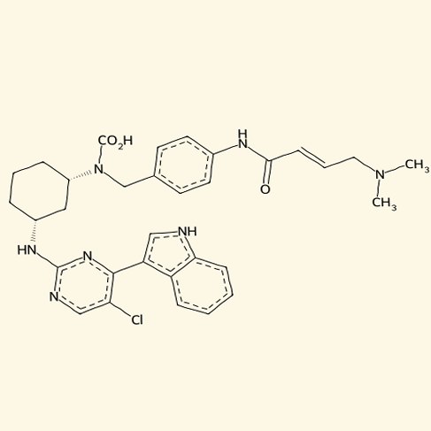 CN(C)CC=CC(=O)Nc1ccc(CN(C(=O)O)[C@H]2CCC[C@@H](Nc3ncc(Cl)c(-c4c[nH]c5ccccc45)n3)C2)cc1